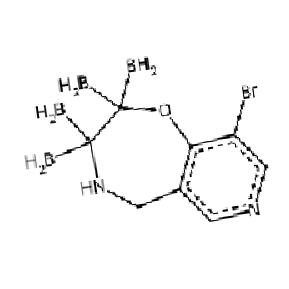 BC1(B)NCc2cncc(Br)c2OC1(B)B